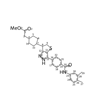 COC(=O)CC1CCC(C2CSc3c2n[nH]c3-c2ccc(C(=O)Nc3ccc(C)c(C)c3)cc2)CC1